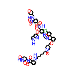 O=C1CCC(N2C(=O)c3cccc(NCCCCCCC(=O)N4CCC(COc5cccc(-c6ccc(Cl)cc6)c5CN5CCN(c6ccc(C(=O)NS(=O)(=O)c7ccc(NCC8CCOCC8)c([N+](=O)[O-])c7)c(Oc7cnc8[nH]ccc8c7)c6)CC5)CC4)c3C2=O)C(=O)N1